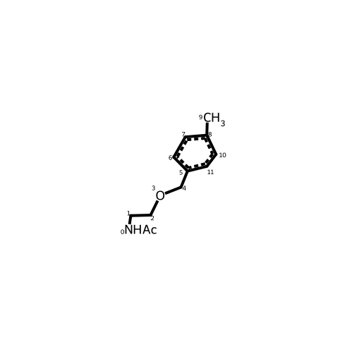 CC(=O)NCCOCc1ccc(C)cc1